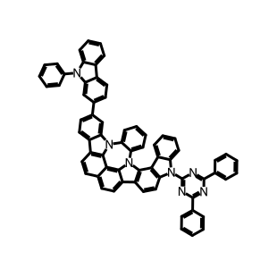 c1ccc(-c2nc(-c3ccccc3)nc(-n3c4ccccc4c4c3ccc3c5ccc6ccc7c8ccc(-c9ccc%10c%11ccccc%11n(-c%11ccccc%11)c%10c9)cc8n8c9ccccc9n(c34)c5c6c78)n2)cc1